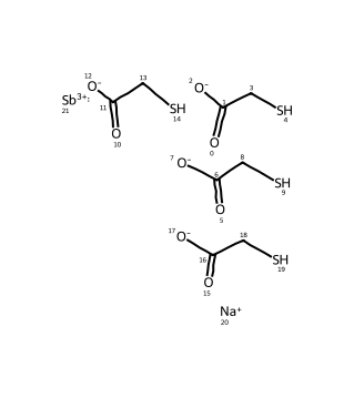 O=C([O-])CS.O=C([O-])CS.O=C([O-])CS.O=C([O-])CS.[Na+].[Sb+3]